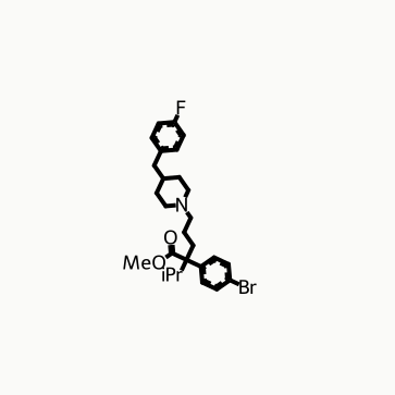 COC(=O)C(CCCN1CCC(Cc2ccc(F)cc2)CC1)(c1ccc(Br)cc1)C(C)C